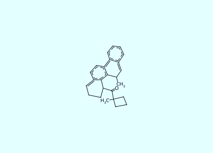 CC1C=c2ccccc2=c2ccc3c(c21)C(C(=O)C1(C)CCC1)CCC=3